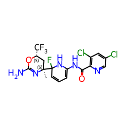 C[C@@]1(C2(F)C=CC=C(NC(=O)c3ncc(Cl)cc3Cl)N2)C[C@@H](C(F)(F)F)OC(N)=N1